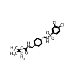 CC(C)(C)OC(=O)NC[C@H]1CC[C@H](CNS(=O)(=O)c2ccc(Cl)c(Cl)c2)CC1